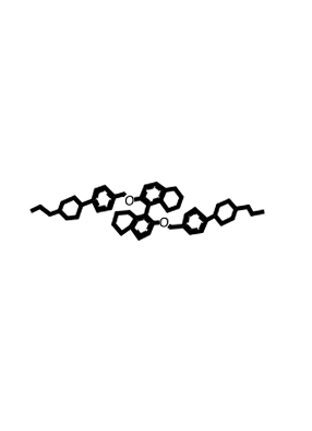 CCCC1CCC(c2ccc(COc3ccc4c(c3-c3c(OCc5ccc(C6CCC(CCC)CC6)cc5)ccc5c3CCCC5)CCCC4)cc2)CC1